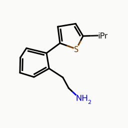 CC(C)c1ccc(-c2ccccc2CCN)s1